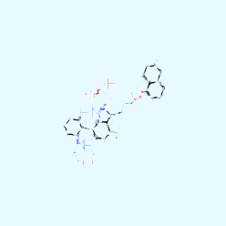 O=C(O)Oc1[nH]c2c(-c3ccccc3N3CCOCC3)ccc(F)c2c1CCCOc1cccc2ccccc12